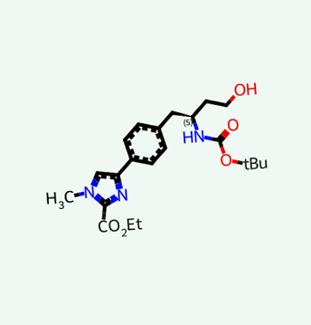 CCOC(=O)c1nc(-c2ccc(C[C@@H](CCO)NC(=O)OC(C)(C)C)cc2)cn1C